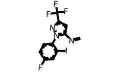 C=Nc1cc(C(F)(F)F)nn1-c1ccc(F)cc1I